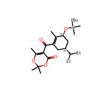 CCC(CC)[C@H]1CC(C(=O)C2=C(C)OC(C)(C)OC2=O)=C(C)[C@@H](O[Si](C)(C)C(C)(C)C)C1